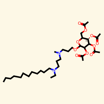 CCCCCCCCCCCCN(CC)CCCN(C)CCCOC1OC(COC(C)=O)[C@H](OC(C)=O)C(OC(C)=O)C1OC(C)=O